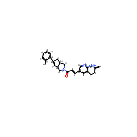 C=C1CCc2cc(/C=C/C(=O)N3CC4C=C(c5ccccc5C)CC4C3)cnc2N1